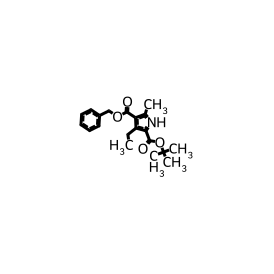 CCc1c(C(=O)OC(C)(C)C)[nH]c(C)c1C(=O)OCc1ccccc1